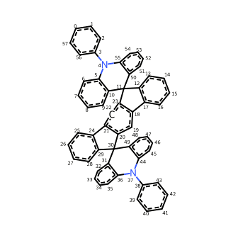 c1ccc(N2c3ccccc3C3(c4ccccc4-c4cc5c(cc43)-c3ccccc3C53c4ccccc4N(c4ccccc4)c4ccccc43)c3ccccc32)cc1